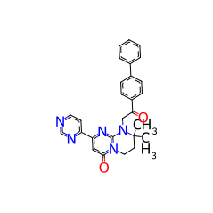 CC1(C)CCn2c(nc(-c3ccncn3)cc2=O)N1CC(=O)c1ccc(-c2ccccc2)cc1